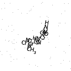 CCn1cc(-c2ccnc(Nc3cccc(S(=O)(=O)N4CCNCC4)c3)n2)c2ccnc(Cl)c21